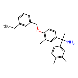 Cc1ccc(C(C)(N)c2ccc(OCc3cccc(CC(C)(C)C)c3)c(C)c2)cc1C